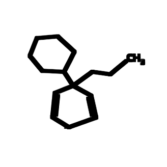 CCCC1(C2CCCCC2)C=C[CH]C=C1